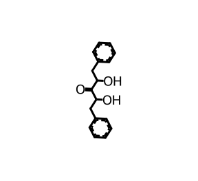 O=C(C(O)Cc1ccccc1)C(O)Cc1ccccc1